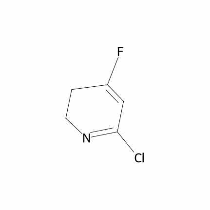 FC1=CC(Cl)=NCC1